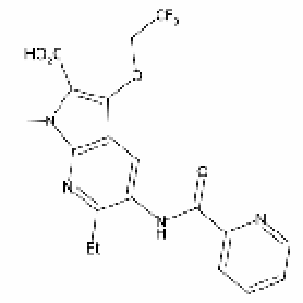 CCc1nc2c(cc1NC(=O)c1ccccn1)c(OCC(F)(F)F)c(C(=O)O)n2C